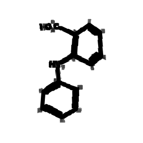 O=C(O)c1ccc[c]c1Nc1ccccc1